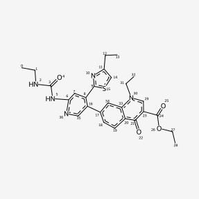 CCNC(=O)Nc1cc(-c2nc(CC)cs2)c(-c2ccc3c(=O)c(C(=O)OCC)cn(CC)c3c2)cn1